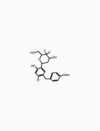 COc1ccc(Cc2cc(C3CC(O)C(F)(F)C(CO)O3)c(O)cc2Cl)cc1